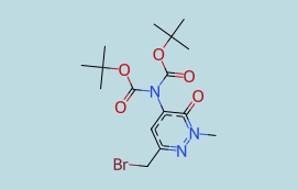 Cn1nc(CBr)cc(N(C(=O)OC(C)(C)C)C(=O)OC(C)(C)C)c1=O